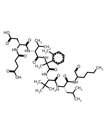 CCCCC(C=O)NC(=O)[C@H](CC(C)C)NC(=O)[C@@H](NC(=O)C(C)(NC(=O)[C@H](NC(=O)[C@H](CC(=O)O)NC(=O)CCC(=O)O)C(C)C)c1ccccc1C)C(C)(C)C